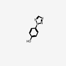 Oc1ccc(-n2ncnn2)cc1